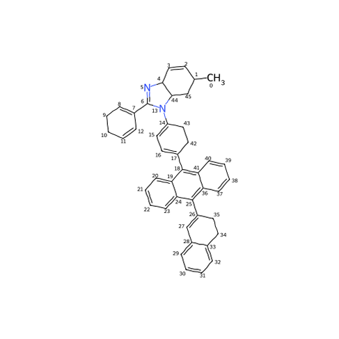 CC1C=CC2N=C(C3=CCCC=C3)N(C3=CC=C(c4c5ccccc5c(C5=Cc6ccccc6CC5)c5ccccc45)CC3)C2C1